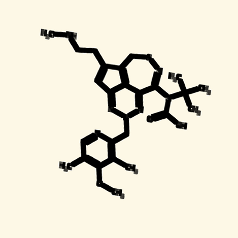 CNCCc1cc2nn(Cc3ncc(C)c(OC)c3C)nc3c-2c1CSN=C3N(C(=O)O)C(C)(C)C